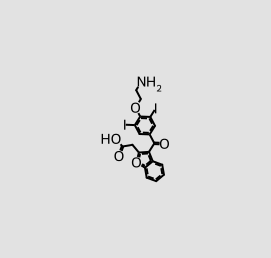 NCCOc1c(I)cc(C(=O)c2c(CC(=O)O)oc3ccccc23)cc1I